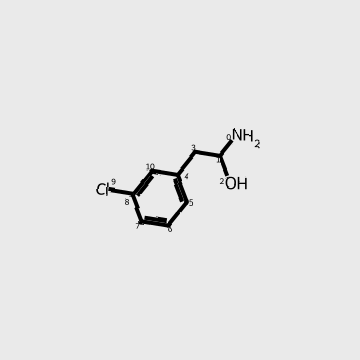 NC(O)Cc1cccc(Cl)c1